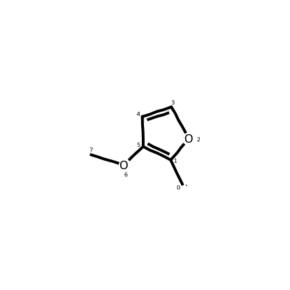 [CH2]c1occc1OC